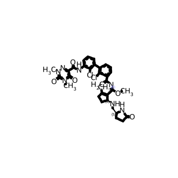 C=C(/N=C(/OC)C1=C(C)CC[C@@H]1NC[C@@H]1CCC(=O)N1)c1cccc(-c2cccc(NC(=O)c3nn(C)c(=O)n(C)c3=O)c2Cl)c1Cl